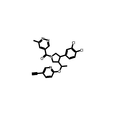 C#Cc1ccc(OC(C)C2CN(C(=O)c3cnnc(C)c3)CC2c2ccc(Cl)c(Cl)c2)nc1